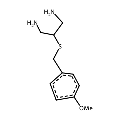 COc1ccc(CSC(CN)CN)cc1